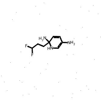 NC1=CNC(N)(CCC(F)F)C=C1